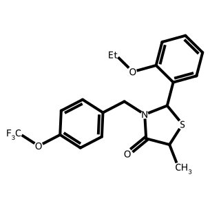 CCOc1ccccc1C1SC(C)C(=O)N1Cc1ccc(OC(F)(F)F)cc1